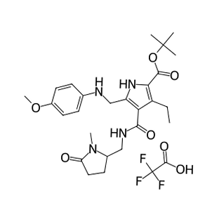 CCc1c(C(=O)OC(C)(C)C)[nH]c(CNc2ccc(OC)cc2)c1C(=O)NCC1CCC(=O)N1C.O=C(O)C(F)(F)F